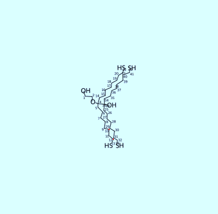 OCCOC(CCCCCCCCS)(CCCCCCCCS)C(O)(CCCCCCCCS)CCCCCCCCS